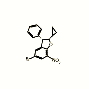 O=[N+]([O-])c1cc(Br)cc2c1O[C@H](C1CC1)[C@H]2c1ccccc1